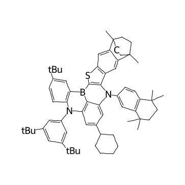 CC(C)(C)c1cc(N2c3ccc(C(C)(C)C)cc3B3c4sc5cc6c(cc5c4N(c4ccc5c(c4)C(C)(C)CCC5(C)C)c4cc(C5CCCCC5)cc2c43)C2(C)CCC6(C)CC2)cc(C(C)(C)C)c1